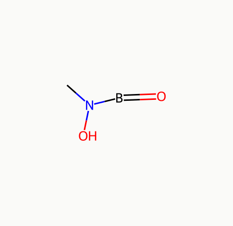 CN(O)B=O